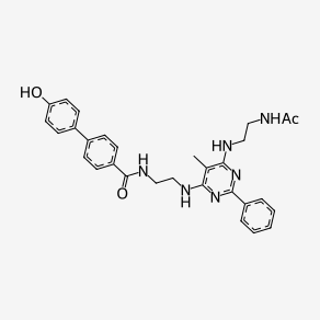 CC(=O)NCCNc1nc(-c2ccccc2)nc(NCCNC(=O)c2ccc(-c3ccc(O)cc3)cc2)c1C